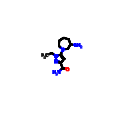 NC(=O)c1[c]c(N2CCCCC(N)C2)n(CC(F)(F)F)n1